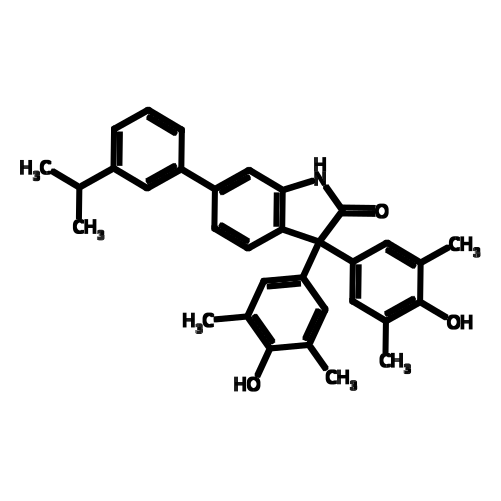 Cc1cc(C2(c3cc(C)c(O)c(C)c3)C(=O)Nc3cc(-c4cccc(C(C)C)c4)ccc32)cc(C)c1O